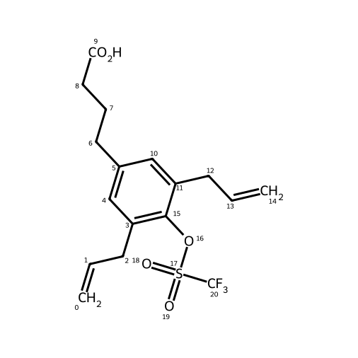 C=CCc1cc(CCCC(=O)O)cc(CC=C)c1OS(=O)(=O)C(F)(F)F